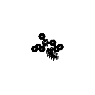 O=S(=O)(Oc1ccc2ccccc2c1-c1cccc(-c2nc(-c3ccccc3)nc(-c3cccc4c3ccc3ccccc34)n2)c1)C(F)(F)C(F)(F)C(F)(F)C(F)(F)F